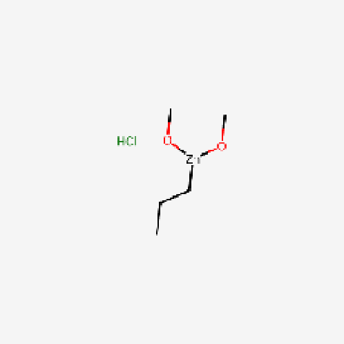 CC[CH2][Zn]([O]C)[O]C.Cl